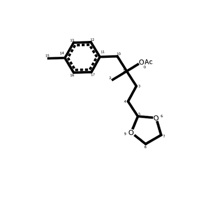 CC(=O)OC(C)(CCC1OCCO1)Cc1ccc(C)cc1